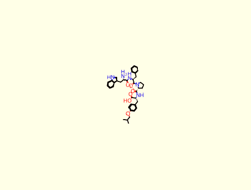 CC(C)COc1ccc(C[C@H](NC(=O)[C@H]2CCCN2C(=O)[C@H](Cc2ccccc2)NC(=O)[C@@H](N)Cc2c[nH]c3ccccc23)C(=O)O)cc1